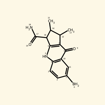 Bc1ccc2[nH]c3c(c(=O)c2c1)C(C)C(C)C3C(N)=O